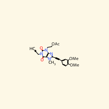 C#CCn1c(=O)c2c(nc(C#Cc3ccc(OC)c(OC)c3)n2C)n(CCOC(C)=O)c1=O